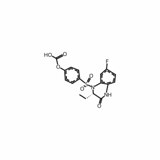 CC[C@H]1C(=O)Nc2ccc(F)cc2N1S(=O)(=O)c1ccc(OC(=O)O)cc1